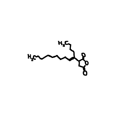 CCCCCCCCC=C(CCCC)C1CC(=O)OC1=O